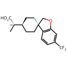 C[C@H](C(=O)O)[C@H]1CC[C@]2(CC1)COc1cc(C(F)(F)F)ccc12